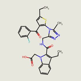 CCc1cc(C(=O)c2ccccc2F)c(-n2c(C)nnc2CNC(=O)c2c(CC)c3ccccc3n2CC(=O)O)s1